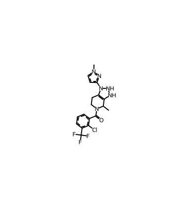 CC1C2=C(CCN1C(=O)c1cccc(C(F)(F)F)c1Cl)N(c1ccn(C)n1)NN2